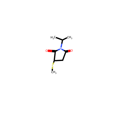 CSC1CC(=O)N(C(C)C)C1=O